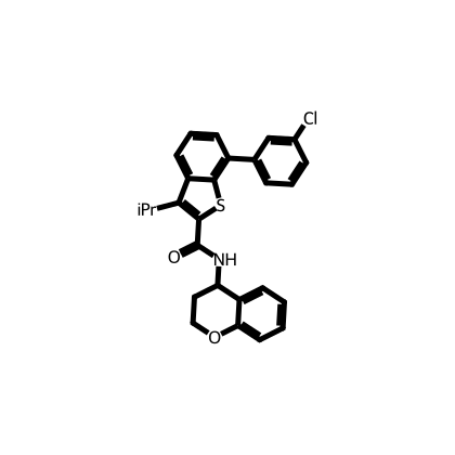 CC(C)c1c(C(=O)NC2CCOc3ccccc32)sc2c(-c3cccc(Cl)c3)cccc12